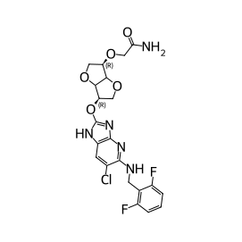 NC(=O)CO[C@@H]1COC2C1OC[C@H]2Oc1nc2nc(NCc3c(F)cccc3F)c(Cl)cc2[nH]1